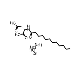 CCCCCCCCCCCC(=O)N[C@@H](CC(=O)O)C(=O)O.Cl.Cl.[NaH].[Zn]